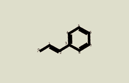 [CH2]C=Cc1ccccc1